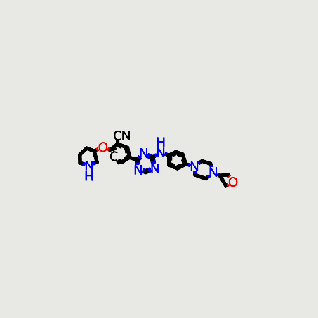 N#Cc1cc(-c2ncnc(Nc3ccc(N4CCN(C5COC5)CC4)cc3)n2)ccc1OC1CCCNC1